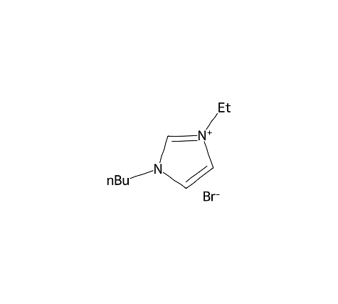 CCCCn1cc[n+](CC)c1.[Br-]